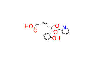 O=C(O)CC/C=C\C[C@@H]1COC(c2ccccn2)O[C@@H]1c1ccccc1O